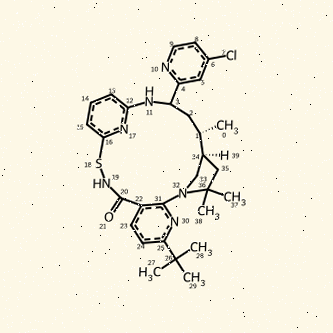 C[C@H]1CC(c2cc(Cl)ccn2)Nc2cccc(n2)SNC(=O)c2ccc(C(C)(C)C)nc2N2C[C@@H]1CC2(C)C